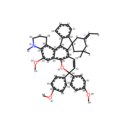 C/C=C1\CC(C)(C)CC2(C1)c1ccccc1-c1c2c2c(c3cc(OC)c4c(c13)CCCN4C)OC(c1ccc(OC)cc1)(c1ccc(OC)cc1)C=C2